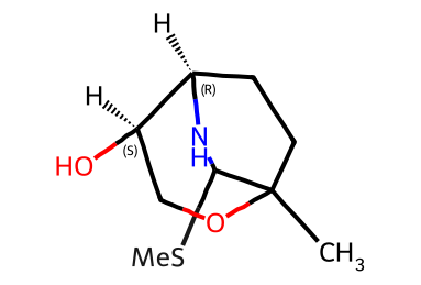 CSC1N[C@@H]2CCC1(C)OC[C@H]2O